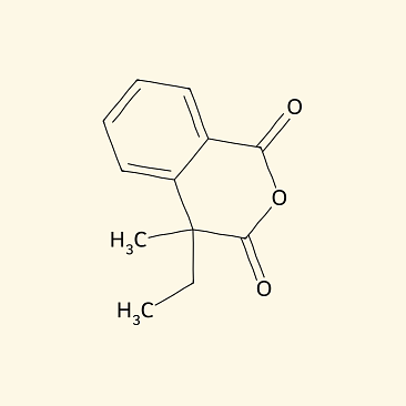 CCC1(C)C(=O)OC(=O)c2ccccc21